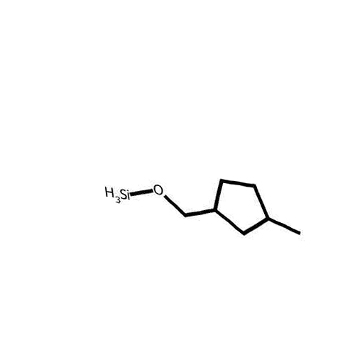 CC1CCC(CO[SiH3])C1